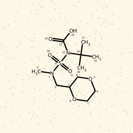 CN(CC1COCCO1)S(=O)(=O)N(C(=O)O)C(C)(C)C